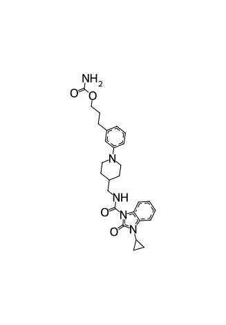 NC(=O)OCCCc1cccc(N2CCC(CNC(=O)n3c(=O)n(C4CC4)c4ccccc43)CC2)c1